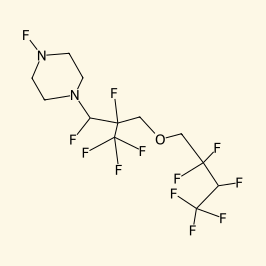 FC(C(F)(F)F)C(F)(F)COCC(F)(C(F)N1CCN(F)CC1)C(F)(F)F